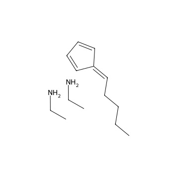 CCCCC=C1C=CC=C1.CCN.CCN